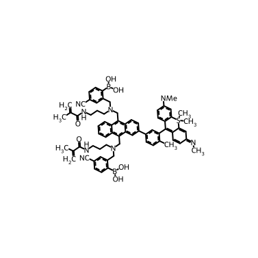 C=C(C)C(=O)NCCCN(Cc1cc(C#N)ccc1B(O)O)Cc1c2ccccc2c(CN(CCCNC(=O)C(=C)C)Cc2cc(C#N)ccc2B(O)O)c2cc(-c3ccc(C)c(C4=C5C=C/C(=N\C)C=C5S(C)(C)c5cc(NC)ccc54)c3)ccc12